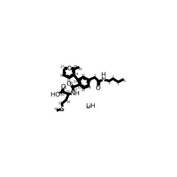 CCCCNC(=O)Cc1ccc(C(=O)NC(CCSC)C(=O)O)c(-c2ccccc2C)c1.[LiH]